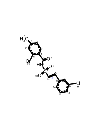 Cc1ccc(C(=O)NS(=O)(=O)/C=C/c2cccc(Cl)c2)c(Br)c1